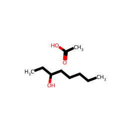 CC(=O)O.CCCCCC(O)CC